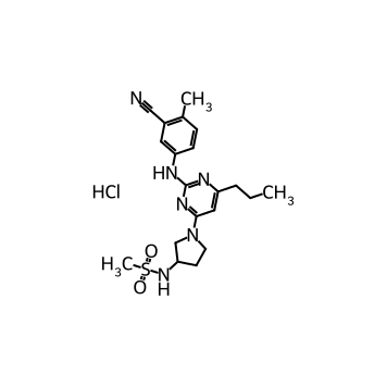 CCCc1cc(N2CCC(NS(C)(=O)=O)C2)nc(Nc2ccc(C)c(C#N)c2)n1.Cl